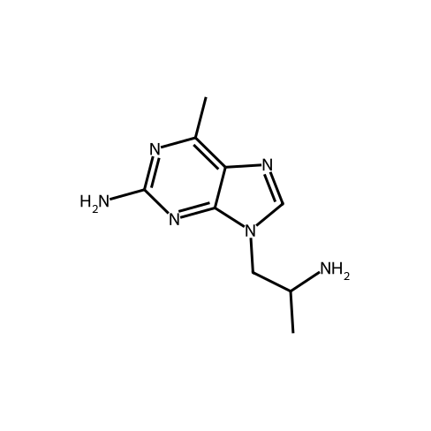 Cc1nc(N)nc2c1ncn2CC(C)N